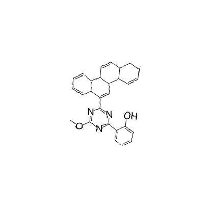 COc1nc(C2=CC3C4C=CCCC4C=CC3C3C=CC=CC23)nc(-c2ccccc2O)n1